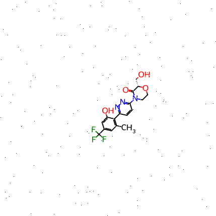 Cc1cc(C(F)(F)F)cc(O)c1-c1ccc(N2CCO[C@@H](CO)C2=O)nn1